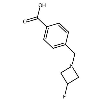 O=C(O)c1ccc(CN2CC(F)C2)cc1